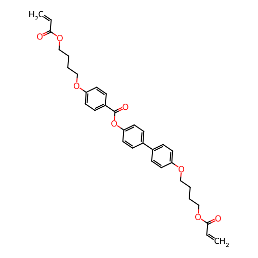 C=CC(=O)OCCCCOc1ccc(C(=O)Oc2ccc(-c3ccc(OCCCCOC(=O)C=C)cc3)cc2)cc1